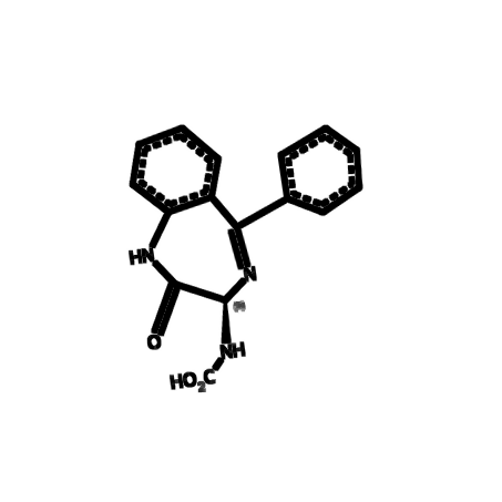 O=C(O)N[C@@H]1N=C(c2ccccc2)c2ccccc2NC1=O